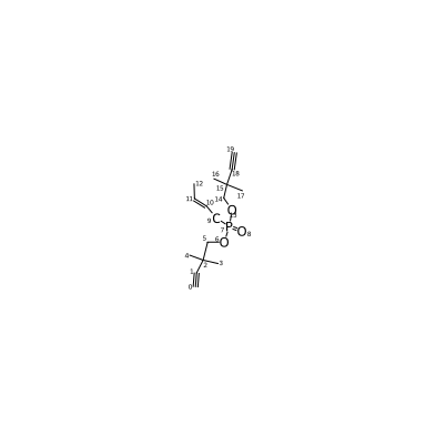 C#CC(C)(C)COP(=O)(CC=CC)OCC(C)(C)C#C